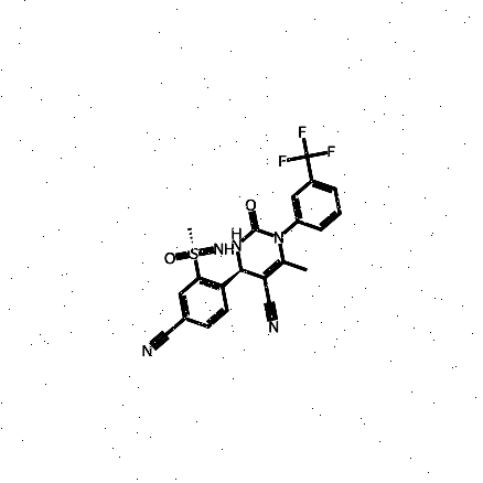 CC1=C(C#N)[C@@H](c2ccc(C#N)cc2[S@](C)(=N)=O)NC(=O)N1c1cccc(C(F)(F)F)c1